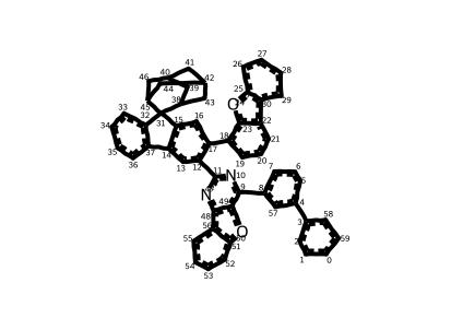 c1ccc(-c2cccc(-c3nc(-c4cc5c(cc4-c4cccc6c4oc4ccccc46)C4(c6ccccc6-5)C5CC6CC(C5)CC4C6)nc4c3oc3ccccc34)c2)cc1